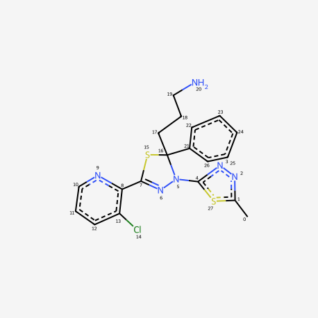 Cc1nnc(N2N=C(c3ncccc3Cl)SC2(CCCN)c2ccccc2)s1